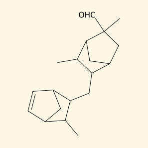 CC1C2C=CC(C2)C1CC1C2CC(C1C)C(C)(C=O)C2